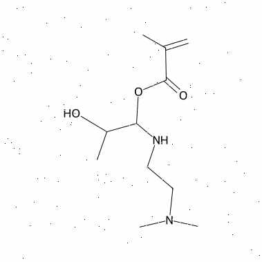 C=C(C)C(=O)OC(NCCN(C)C)C(C)O